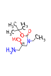 CCN(C[C@H](O)CN)C(=O)OC(C)(C)C